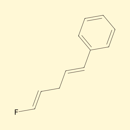 FC=CCC=Cc1ccccc1